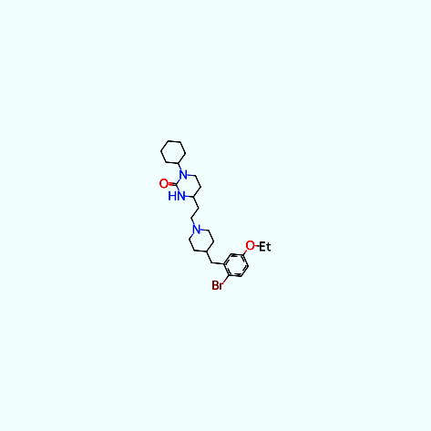 CCOc1ccc(Br)c(CC2CCN(CCC3CCN(C4CCCCC4)C(=O)N3)CC2)c1